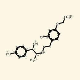 CCOC(=O)COc1ccc(CCN[C@@H](C)[C@H](O)c2ccc(O)cc2)c(Cl)c1